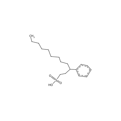 CCCCCCCCCC(CCS(=O)(=O)O)c1ccccc1